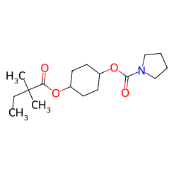 CCC(C)(C)C(=O)OC1CCC(OC(=O)N2CCCC2)CC1